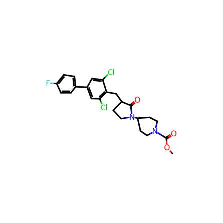 COC(=O)N1CCC(N2CCC(Cc3c(Cl)cc(-c4ccc(F)cc4)cc3Cl)C2=O)CC1